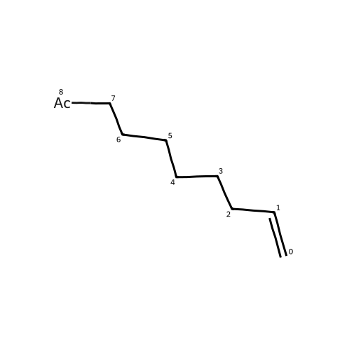 C=CCCCCCCC(C)=O